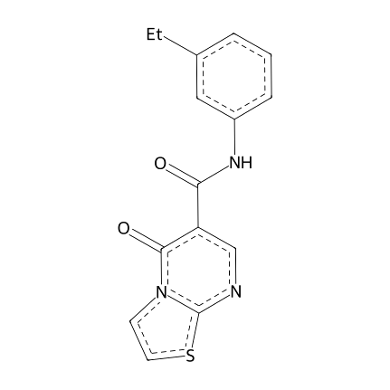 CCc1cccc(NC(=O)c2cnc3sccn3c2=O)c1